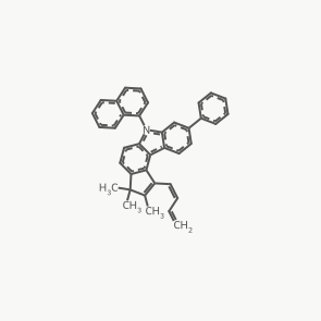 C=C/C=C\C1=C(C)C(C)(C)c2ccc3c(c21)c1ccc(-c2ccccc2)cc1n3-c1cccc2ccccc12